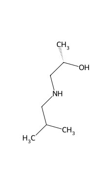 CC(C)CNC[C@H](C)O